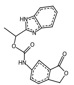 CC(OC(=O)Nc1ccc2c(c1)C(=O)OC2)c1nc2ccccc2[nH]1